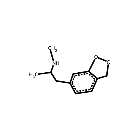 CNC(C)Cc1ccc2c(c1)OOC2